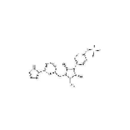 CC1C(=O)N(c2ccc(OC(F)(F)F)cc2)C(=O)N1Cc1ccnc(-c2ncc[nH]2)c1